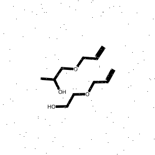 C=CCOCC(C)O.C=CCOCCO